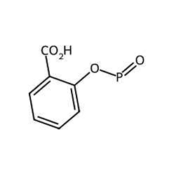 O=POc1ccccc1C(=O)O